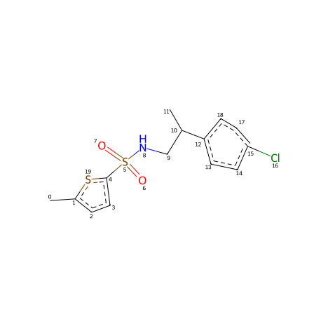 Cc1ccc(S(=O)(=O)NCC(C)c2ccc(Cl)cc2)s1